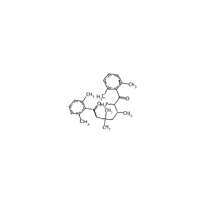 Cc1cccc(C)c1C(=O)CC(C)(C)CC(C)C(P)C(=O)c1c(C)cccc1C